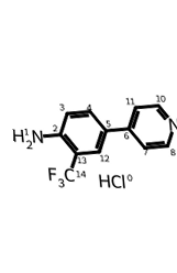 Cl.Nc1ccc(-c2ccncc2)cc1C(F)(F)F